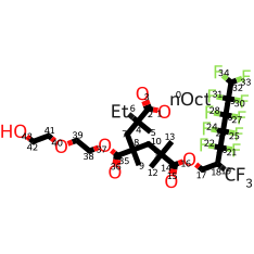 CCCCCCCCOC(=O)C(C)(CC)CC(C)(CC(C)(C)C(=O)OCC(C(F)(F)F)C(F)(F)C(F)(F)C(F)(F)C(F)(F)C(F)F)C(=O)OCCOCCO